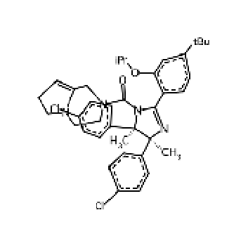 CC(C)Oc1cc(C(C)(C)C)ccc1C1=N[C@@](C)(c2ccc(Cl)cc2)[C@@](C)(c2ccc(Cl)cc2)N1C(=O)N1CCN2CCC=C2C1